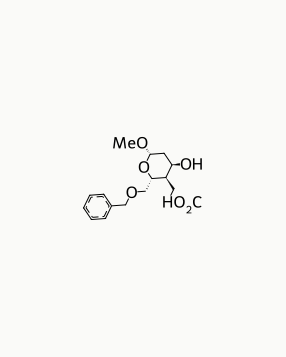 CO[C@@H]1C[C@@H](O)[C@@H](CC(=O)O)[C@H](COCc2ccccc2)O1